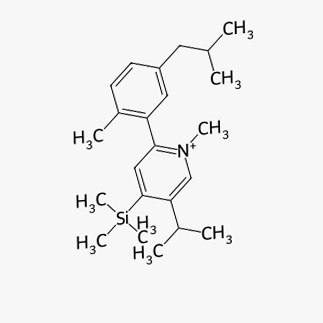 Cc1ccc(CC(C)C)cc1-c1cc([Si](C)(C)C)c(C(C)C)c[n+]1C